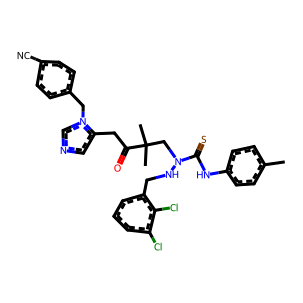 Cc1ccc(NC(=S)N(CC(C)(C)C(=O)Cc2cncn2Cc2ccc(C#N)cc2)NCc2cccc(Cl)c2Cl)cc1